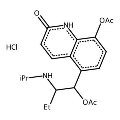 CCC(NC(C)C)C(OC(C)=O)c1ccc(OC(C)=O)c2[nH]c(=O)ccc12.Cl